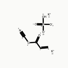 C=CC(=O)OC#N.O=P([O-])([O-])O.[K+].[K+]